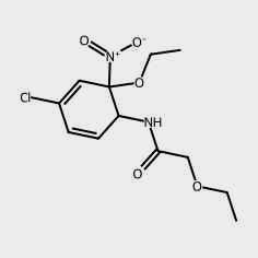 CCOCC(=O)NC1C=CC(Cl)=CC1(OCC)[N+](=O)[O-]